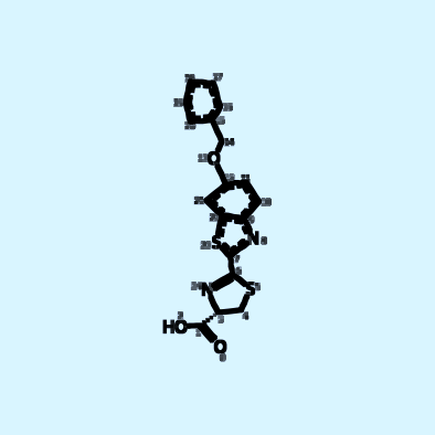 O=C(O)[C@H]1CSC(c2nc3ccc(OCc4ccccc4)cc3s2)=N1